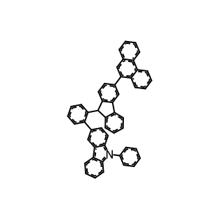 c1ccc(-n2c3ccccc3c3cc(-c4ccccc4C4c5ccccc5-c5cc(-c6cc7ccccc7c7ccccc67)ccc54)ccc32)cc1